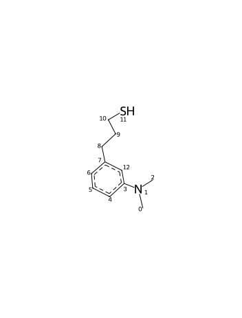 CN(C)c1cccc(CCCS)c1